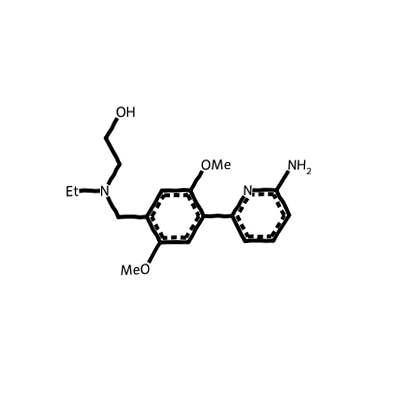 CCN(CCO)Cc1cc(OC)c(-c2cccc(N)n2)cc1OC